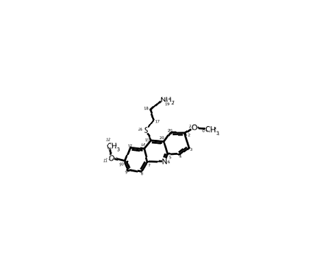 COc1ccc2nc3ccc(OC)cc3c(SCCN)c2c1